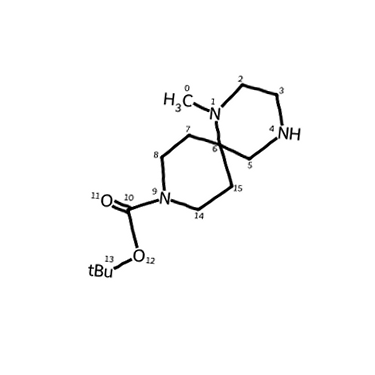 CN1CCNCC12CCN(C(=O)OC(C)(C)C)CC2